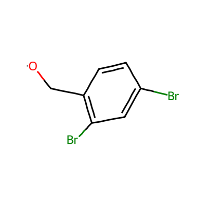 [O]Cc1ccc(Br)cc1Br